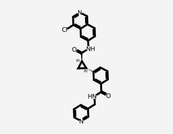 O=C(NCc1cccnc1)c1cccc([C@@H]2C[C@H]2C(=O)Nc2ccc3cncc(Cl)c3c2)c1